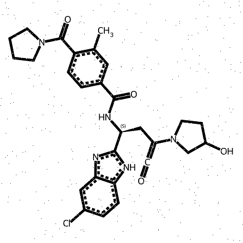 Cc1cc(C(=O)N[C@@H](CC(=C=O)N2CCC(O)C2)c2nc3cc(Cl)ccc3[nH]2)ccc1C(=O)N1CCCC1